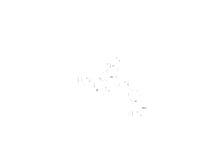 NC(=O)c1ccc(NC(=O)c2cc(N3CCC(O)CC3)nc3sc(C(N)=O)c(N)c23)cc1